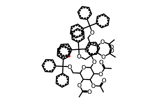 CC(=O)OC1C(COC(c2ccccc2)(c2ccccc2)c2ccccc2)OC(OC2(COC(c3ccccc3)(c3ccccc3)c3ccccc3)OC(COC(c3ccccc3)(c3ccccc3)c3ccccc3)C(OC(C)=O)C2OC(C)=O)C(OC(C)=O)C1OC(C)=O